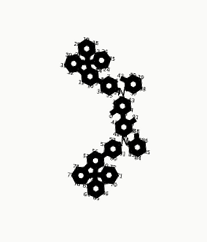 Cc1cc(N(c2ccc(-c3ccc4c(c3)C(c3ccccc3)(c3ccccc3)c3ccccc3-4)cc2)c2ccccc2C)ccc1-c1ccc(N(c2ccc(-c3ccc4c(c3)C(c3ccccc3)(c3ccccc3)c3ccccc3-4)cc2)c2ccccc2C)cc1C